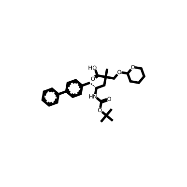 CC(C)(C)OC(=O)N[C@H](Cc1ccc(-c2ccccc2)cc1)CC(C)(COC1CCCCO1)C(=O)O